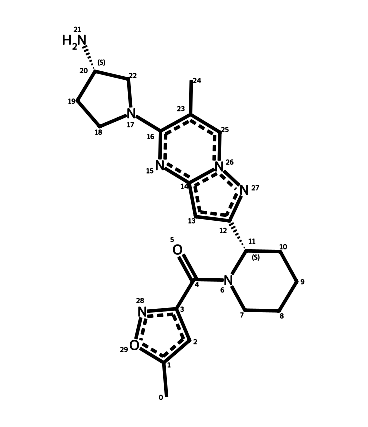 Cc1cc(C(=O)N2CCCC[C@H]2c2cc3nc(N4CC[C@H](N)C4)c(C)cn3n2)no1